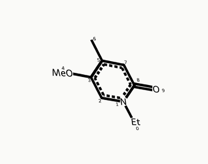 CCn1cc(OC)c(C)cc1=O